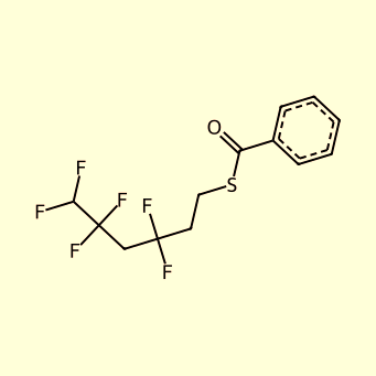 O=C(SCCC(F)(F)CC(F)(F)C(F)F)c1ccccc1